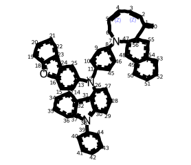 C=C1/C=C\C=C/CN(c2ccc(N(c3ccc4oc5ccccc5c4c3)c3cccc4c3c3ccccc3n4-c3ccccc3)cc2)c2cc3ccccc3cc21